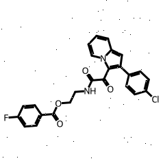 O=C(NCCOC(=O)c1ccc(F)cc1)C(=O)c1c(-c2ccc(Cl)cc2)cc2ccccn12